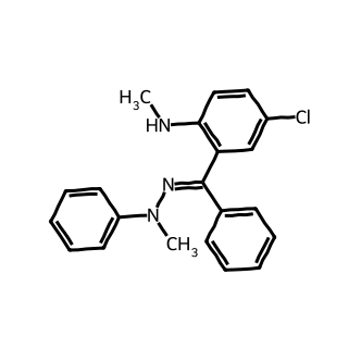 CNc1ccc(Cl)cc1/C(=N/N(C)c1ccccc1)c1ccccc1